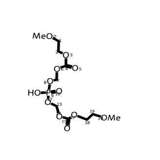 COCCOC(=O)OCOP(=O)(O)OCOC(=O)OCCOC